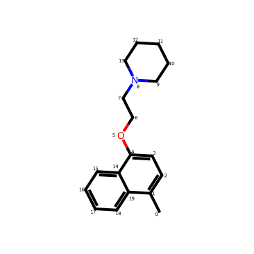 Cc1ccc(OCCN2CCCCC2)c2ccccc12